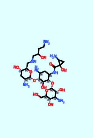 NCCC(O)CNC[C@H]1O[C@H](O[C@H]2[C@H](O)[C@@H](O[C@H]3O[C@H](CO)[C@@H](O)[C@H](N)[C@H]3O)[C@H](NC(=O)C3(O)CC3N)C[C@@H]2N)[C@H](N)C[C@@H]1O